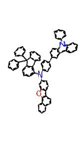 c1ccc(-n2c3ccccc3c3cc(-c4ccc(N(c5ccc6c(c5)oc5c7ccccc7ccc65)c5cccc6c5-c5ccccc5C6(c5ccccc5)c5ccccc5)cc4)ccc32)cc1